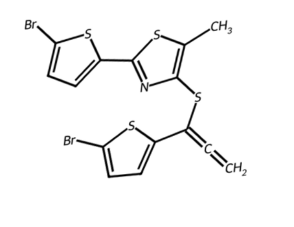 C=C=C(Sc1nc(-c2ccc(Br)s2)sc1C)c1ccc(Br)s1